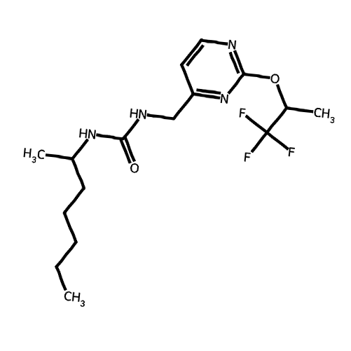 CCCCCC(C)NC(=O)NCc1ccnc(OC(C)C(F)(F)F)n1